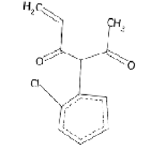 C=CC(=O)C(C(C)=O)c1ccccc1Cl